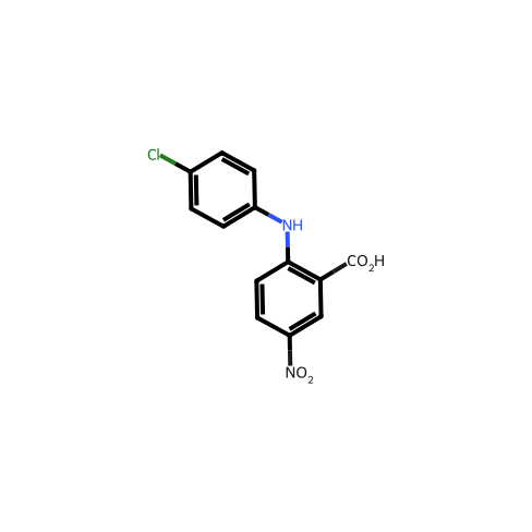 O=C(O)c1cc([N+](=O)[O-])ccc1Nc1ccc(Cl)cc1